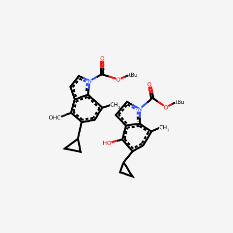 Cc1cc(C2CC2)c(C=O)c2ccn(C(=O)OC(C)(C)C)c12.Cc1cc(C2CC2)c(O)c2ccn(C(=O)OC(C)(C)C)c12